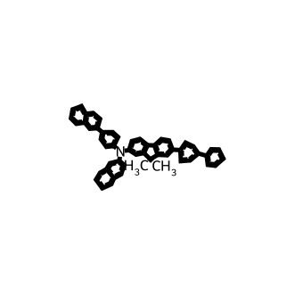 CC1(C)c2cc(-c3ccc(-c4ccccc4)cc3)ccc2-c2ccc(N(c3ccc(-c4ccc5ccccc5c4)cc3)c3ccc4ccccc4c3)cc21